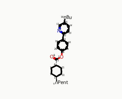 CCCCC[C@H]1CC[C@H](C(=O)Oc2ccc(-c3ccc(CCCC)cn3)cc2)CC1